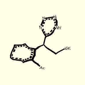 CCCCCCCCCCCC(c1nnn[nH]1)c1ccccc1C(C)=O